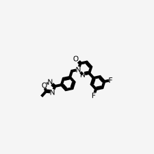 Cc1nc(-c2cccc(Cn3nc(-c4cc(F)cc(F)c4)ccc3=O)c2)no1